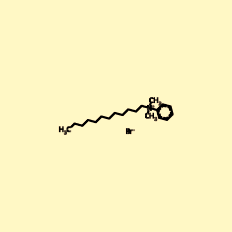 CCCCCCCCCCCC[N+](C)(C)c1ccccc1.[Br-]